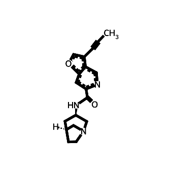 CC#Cc1coc2cc(C(=O)N[C@@H]3C[C@@H]4CCN(C4)C3)ncc12